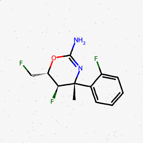 C[C@]1(c2ccccc2F)N=C(N)O[C@@H](CF)[C@@H]1F